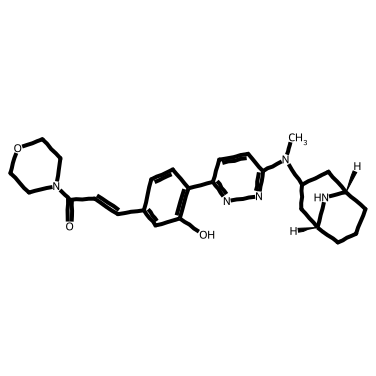 CN(c1ccc(-c2ccc(/C=C/C(=O)N3CCOCC3)cc2O)nn1)C1C[C@H]2CCC[C@@H](C1)N2